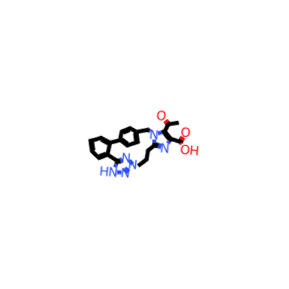 CCCc1nc(C(=O)O)c(C(C)=O)n1Cc1ccc(-c2ccccc2-c2nnn[nH]2)cc1